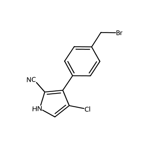 N#Cc1[nH]cc(Cl)c1-c1ccc(CBr)cc1